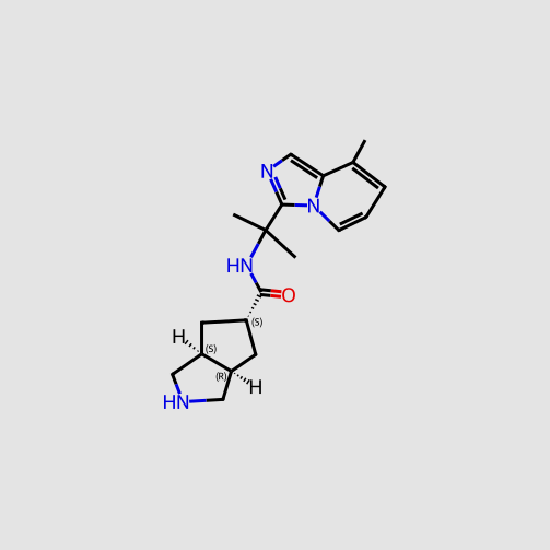 Cc1cccn2c(C(C)(C)NC(=O)[C@@H]3C[C@H]4CNC[C@H]4C3)ncc12